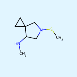 CNC1CN(SC)CC12CC2